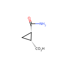 NC(=O)[C@H]1C[C@H]1C(=O)O